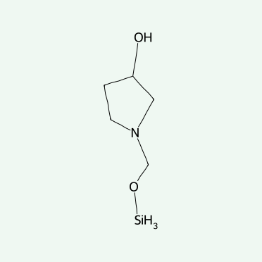 OC1CCN(CO[SiH3])C1